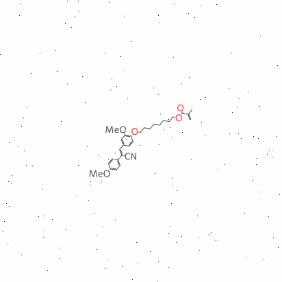 C=C(C)C(=O)OCCCCCCCCOc1ccc(/C=C(\C#N)c2ccc(OC)cc2)cc1OC